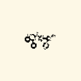 CC(C)n1cc(-c2nnc(N[C@@H]3CNc4ccccc4C(c4ccccc4)=N3)o2)c(N2CCOCC2)n1